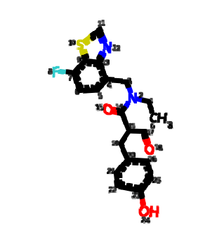 CCN(Cc1ccc(F)c2scnc12)C(=O)C(C=O)Cc1ccc(O)cc1